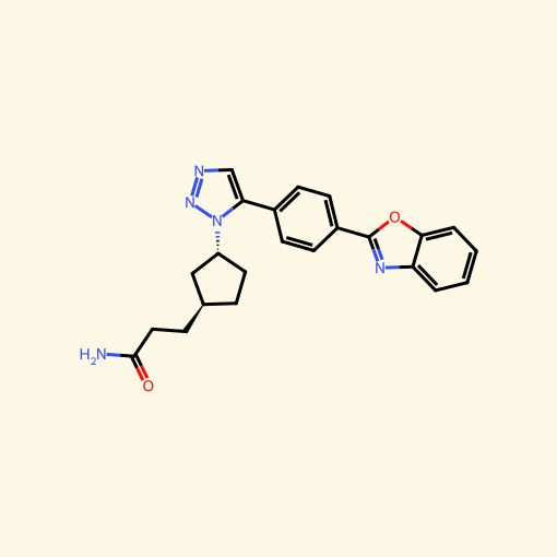 NC(=O)CC[C@@H]1CC[C@@H](n2nncc2-c2ccc(-c3nc4ccccc4o3)cc2)C1